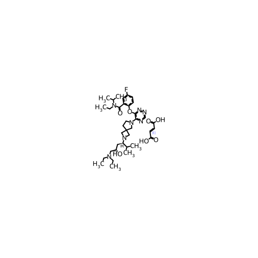 CCN(CC)C[C@@H](O)C[C@H](C(C)C)N1CC2(CCN(c3ncnnc3Oc3ccc(F)cc3C(=O)N(CC)C(C)C)C2)C1.O=C(O)/C=C/C(=O)O